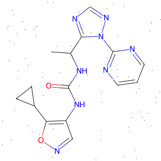 CC(NC(=O)Nc1cnoc1C1CC1)c1ncnn1-c1ncccn1